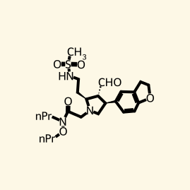 CCCON(CCC)C(=O)CN1C[C@H](c2ccc3c(c2)CCO3)[C@@H](C=O)[C@@H]1CCNS(C)(=O)=O